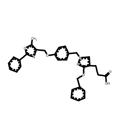 Cc1oc(-c2ccccc2)nc1COc1ccc(Cn2cc(CCC(=O)O)c(OCc3ccccc3)n2)cc1